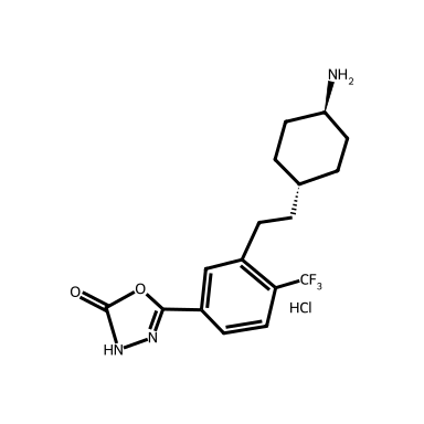 Cl.N[C@H]1CC[C@H](CCc2cc(-c3n[nH]c(=O)o3)ccc2C(F)(F)F)CC1